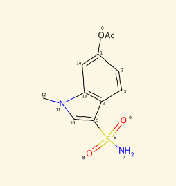 CC(=O)Oc1ccc2c(S(N)(=O)=O)cn(C)c2c1